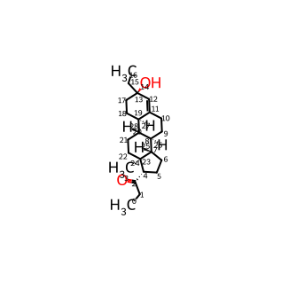 CCC(=O)[C@H]1CC[C@H]2[C@@H]3CCC4=C[C@@](O)(CC)CC[C@@H]4[C@H]3CC[C@]12C